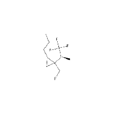 CCCC1CC1(CF)[C@H](C)C(F)(F)F